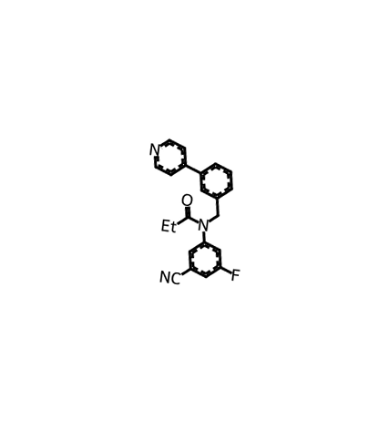 CCC(=O)N(Cc1cccc(-c2ccncc2)c1)c1cc(F)cc(C#N)c1